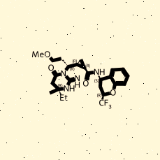 CC[C@]1(C)CC(=O)N([C@H](CCOC)[C@@H]2C[C@H]2C(=O)N[C@H]2C[C@H](C(F)(F)F)Oc3ccccc32)C(=N)N1